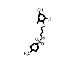 Cc1cc(O)cc(Cl)c1OCCCNS(=O)(=O)c1ccc(C(F)(F)F)cc1